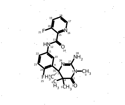 CN1C(=O)C(C)(C)[C@@](C)(c2cc(NC(=O)c3ncccc3F)ccc2F)N=C1N